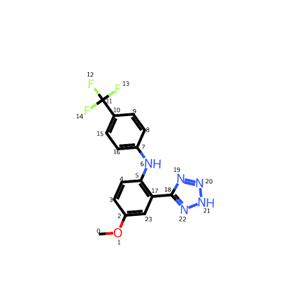 COc1ccc(Nc2ccc(C(F)(F)F)cc2)c(-c2nn[nH]n2)c1